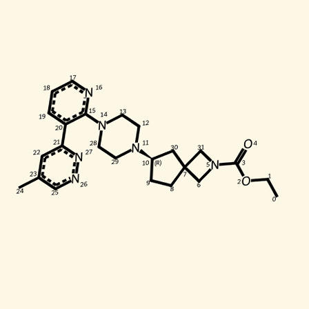 CCOC(=O)N1CC2(CC[C@@H](N3CCN(c4ncccc4-c4cc(C)cnn4)CC3)C2)C1